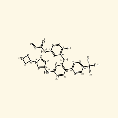 C=CC(=O)Nc1ccc(F)c(Nc2nc(Nc3cnn(C4COC4)c3)ncc2-c2ccc(C(F)(F)F)cc2)c1